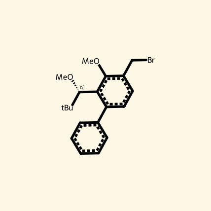 COc1c(CBr)ccc(-c2ccccc2)c1[C@@H](OC)C(C)(C)C